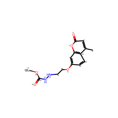 Cc1cc(=O)oc2cc(OCCNNC(=O)OC(C)(C)C)ccc12